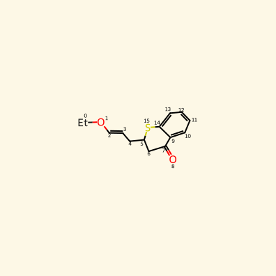 CCOC=CCC1CC(=O)c2ccccc2S1